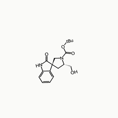 CC(C)(C)OC(=O)N1C[C@]2(C[C@H]1CO)C(=O)Nc1ccccc12